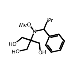 CON(C(c1ccccc1)C(C)C)C(CO)(CO)CO